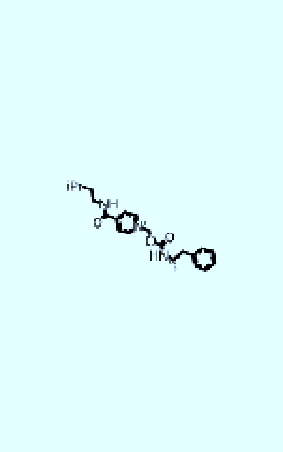 CC(C)CCNC(=O)c1cc[n+](COC(=O)N[C@@H](C)Cc2ccccc2)cc1